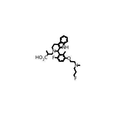 Cc1c(OCCN(C)CCCF)ccc(F)c1C1c2[nH]c3ccccc3c2CCN1CC(C)C(=O)O